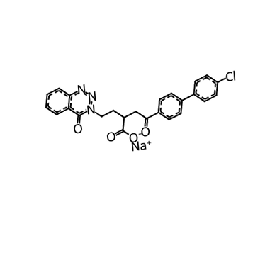 O=C(CC(CCn1nnc2ccccc2c1=O)C(=O)[O-])c1ccc(-c2ccc(Cl)cc2)cc1.[Na+]